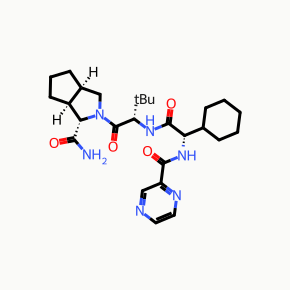 CC(C)(C)[C@H](NC(=O)[C@@H](NC(=O)c1cnccn1)C1CCCCC1)C(=O)N1C[C@@H]2CCC[C@@H]2[C@H]1C(N)=O